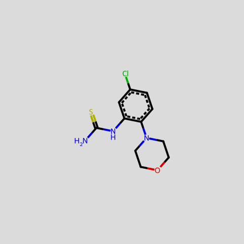 NC(=S)Nc1cc(Cl)ccc1N1CCOCC1